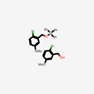 COc1ccc(Br)c(CO)c1.COc1ccc(Br)c(CO[Si](C(C)C)(C(C)C)C(C)C)c1